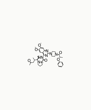 COc1cc2nc(N3CCN(C(=O)C(C)Oc4ccccc4)CC3)nc(NC(=O)[C@H]3CCCN3C(=S)C(C)CC(C)=O)c2cc1OC